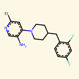 CCc1cc(N2CCC(Cc3ccc(F)cc3F)CC2)c(N)cn1